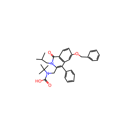 CC(C)Cn1c(CN(C(=O)O)C(C)(C)C)c(-c2ccccc2)c2cc(OCc3ccccc3)ccc2c1=O